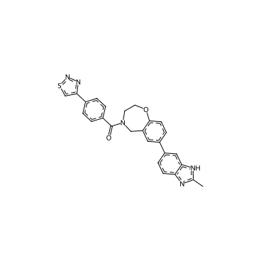 Cc1nc2ccc(-c3ccc4c(c3)CN(C(=O)c3ccc(-c5csnn5)cc3)CCO4)cc2[nH]1